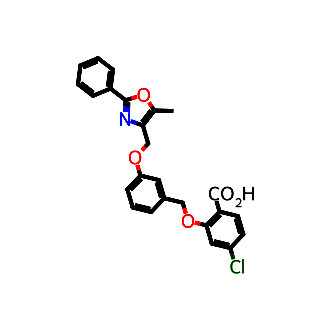 Cc1oc(-c2ccccc2)nc1COc1cccc(COc2cc(Cl)ccc2C(=O)O)c1